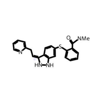 CNC(=O)c1ccccc1Sc1ccc2c(c1)NN/C2=C/Cc1ccccn1